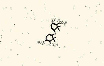 CC1(C)C(SC2=CCC(C(=O)O)=C(C(=O)O)C2(C)C)=CCC(C(=O)O)=C1C(=O)O